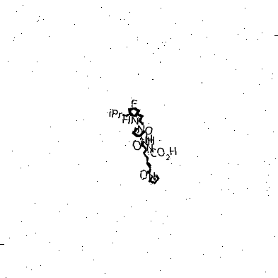 CC(C)Cc1cc(F)cc2cc(Cn3cccc(NC(=O)C(CCC=CC(=O)N4CCCC4)NC(=O)O)c3=O)[nH]c12